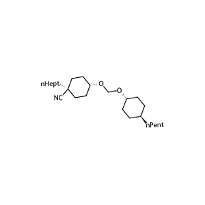 CCCCCCC[C@]1(C#N)CC[C@H](OCO[C@H]2CC[C@H](CCCCC)CC2)CC1